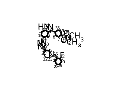 CN(C)S(=O)(=O)c1ccc(-c2n[nH]c3ccc(-n4cc([C@@H]5CCCN(Cc6ccccc6F)C5)nn4)cc23)cc1